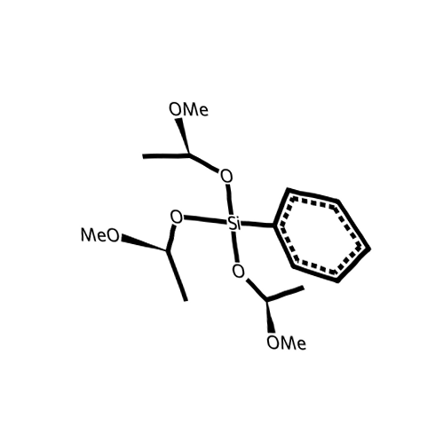 CO[C@H](C)O[Si](O[C@@H](C)OC)(O[C@@H](C)OC)c1ccccc1